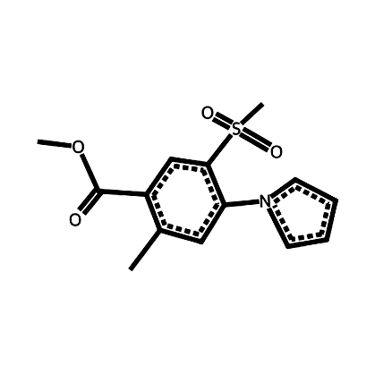 COC(=O)c1cc(S(C)(=O)=O)c(-n2cccc2)cc1C